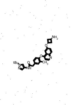 Cc1cc(CC(=O)Nc2cnn(C(C)(C)C)c2)ccc1Oc1ccnc2ccc(O[C@H]3C[C@H](N)C3)cc12